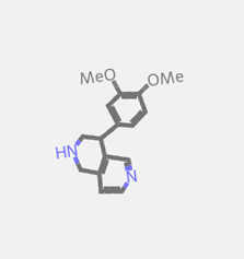 COc1ccc(C2CNCc3ccncc32)cc1OC